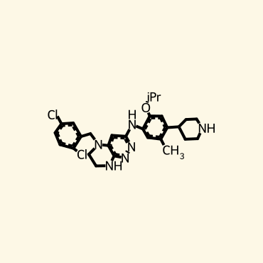 Cc1cc(Nc2cc3c(nn2)NCCN3Cc2cc(Cl)ccc2Cl)c(OC(C)C)cc1C1CCNCC1